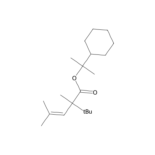 CC(C)=CC(C)(C(=O)OC(C)(C)C1CCCCC1)C(C)(C)C